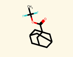 CC(F)(F)OC(=O)C12CC3CC(CC(C3)C1)C2